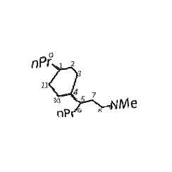 CCCC1CCC(C(CCC)CCNC)CC1